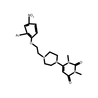 CC(=O)c1cc([N+](=O)[O-])ccc1OCCN1CCN(c2cc(=O)n(C)c(=O)n2C)CC1